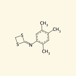 Cc1cc(C)c(N=C2SCS2)cc1C